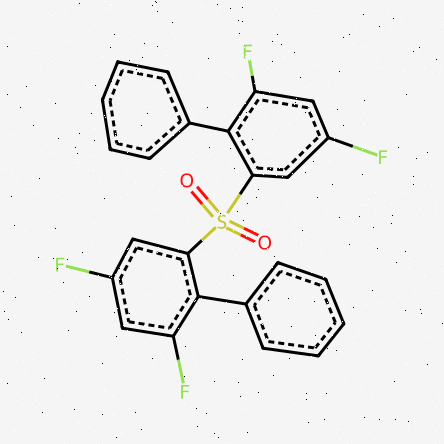 O=S(=O)(c1cc(F)cc(F)c1-c1ccccc1)c1cc(F)cc(F)c1-c1ccccc1